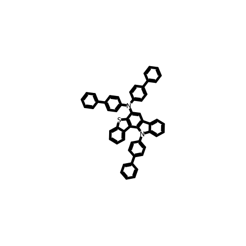 c1ccc(-c2ccc(N(c3ccc(-c4ccccc4)cc3)c3cc4c5ccccc5n(-c5ccc(-c6ccccc6)cc5)c4c4c3sc3ccccc34)cc2)cc1